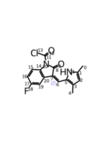 Cc1cc(C)c(/C=C2\C(=O)N(C(=O)Cl)c3ccc(F)cc32)[nH]1